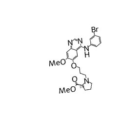 COC(=O)[C@@H]1CCCN1CCCOc1cc2c(Nc3cccc(Br)c3)ncnc2cc1OC